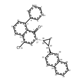 O=c1c2c(-c3cncnc3)cccc2c(Cl)cn1[C@@H]1C[C@H]1c1ccc2ccccc2n1